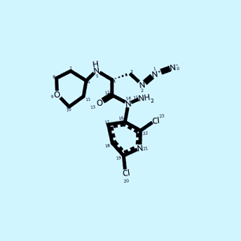 [N-]=[N+]=NC[C@@H](NC1CCOCC1)C(=O)N(N)c1ccc(Cl)nc1Cl